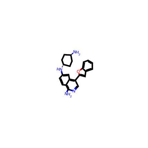 Nc1ncc(-c2cc3ccccc3o2)c2cc(N[C@H]3CC[C@H](N)CC3)ccc12